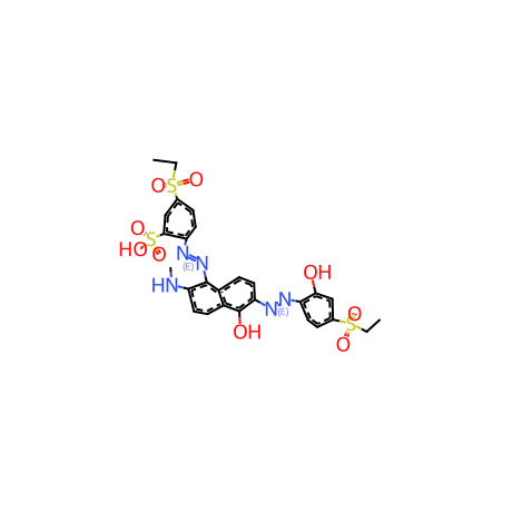 CCS(=O)(=O)c1ccc(/N=N/c2ccc3c(/N=N/c4ccc(S(=O)(=O)CC)cc4S(=O)(=O)O)c(NC)ccc3c2O)c(O)c1